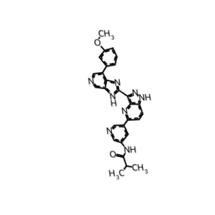 COc1cccc(-c2cncc3[nH]c(-c4n[nH]c5ccc(-c6cncc(NC(=O)C(C)C)c6)nc45)nc23)c1